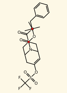 CC(C)(C)OC(=O)N1C2C=C(OS(=O)(=O)C(F)(F)F)CC1CN(C(=O)OCc1ccccc1)C2